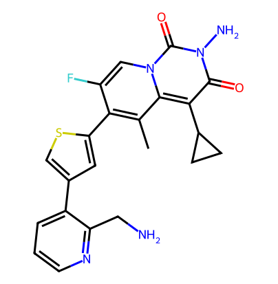 Cc1c(-c2cc(-c3cccnc3CN)cs2)c(F)cn2c(=O)n(N)c(=O)c(C3CC3)c12